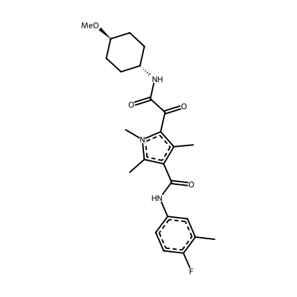 CO[C@H]1CC[C@H](NC(=O)C(=O)c2c(C)c(C(=O)Nc3ccc(F)c(C)c3)c(C)n2C)CC1